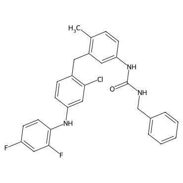 Cc1ccc(NC(=O)NCc2ccccc2)cc1Cc1ccc(Nc2ccc(F)cc2F)cc1Cl